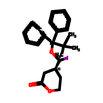 CC(C)(C)[Si](OC(I)[C@H]1CCOC(=O)C1)(c1ccccc1)c1ccccc1